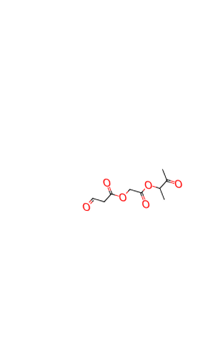 CC(=O)C(C)OC(=O)COC(=O)CC=O